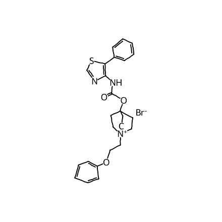 O=C(Nc1ncsc1-c1ccccc1)OC12CC[N+](CCOc3ccccc3)(CC1)CC2.[Br-]